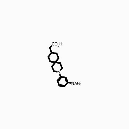 CNc1cccc(N2CCC3(CCC(CC(=O)O)CC3)CC2)c1